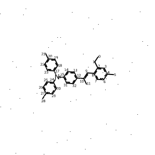 CCc1cc(C)ccc1/C=C(\C)c1ccc(N(c2ccc(C)cc2)c2ccc(C)cc2)cc1